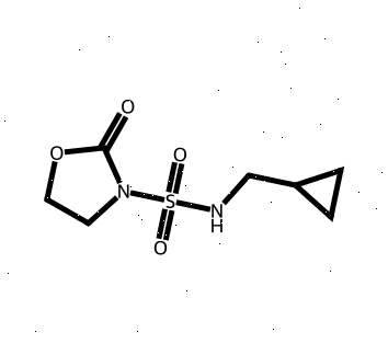 O=C1OCCN1S(=O)(=O)NCC1CC1